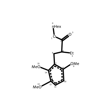 CCCCCCOC(=O)C(CC)Cc1c(OC)ccc(OC)c1OC